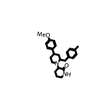 COc1ccc(C2CCN(C3CCCNC3=O)C(Cc3ccc(C)cc3)C2)cc1